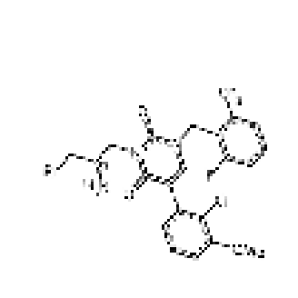 COc1cccc(-c2cn(Cc3c(F)cccc3C(F)(F)F)c(=O)n(C[C@@H](N)CC(C)C)c2=O)c1Cl